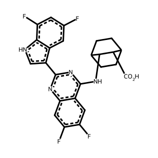 O=C(O)C1C2CCC(CC2)C1Nc1nc(-c2c[nH]c3c(F)cc(F)cc23)nc2cc(F)c(F)cc12